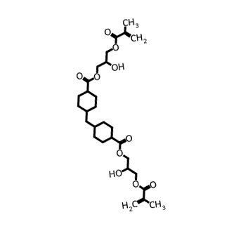 C=C(C)C(=O)OCC(O)COC(=O)C1CCC(CC2CCC(C(=O)OCC(O)COC(=O)C(=C)C)CC2)CC1